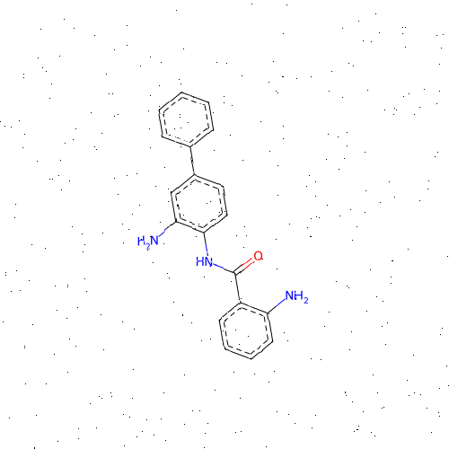 Nc1cc(-c2ccccc2)ccc1NC(=O)c1ccccc1N